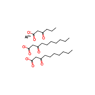 CCCC(=O)CC(=O)[O-].CCCCCCCC(=O)CC(=O)[O-].CCCCCCCC(=O)CC(=O)[O-].[Al+3]